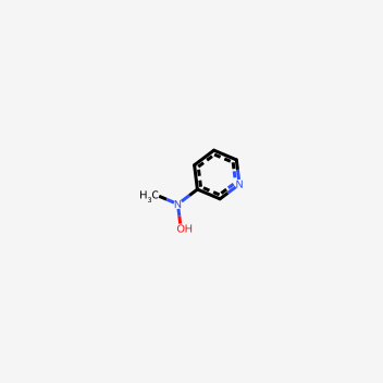 CN(O)c1cccnc1